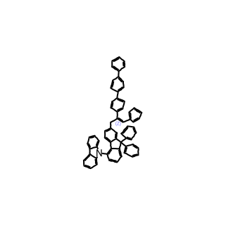 C(=C(\Cc1ccc2c(c1)C(c1ccccc1)(c1ccccc1)c1cccc(-n3c4ccccc4c4ccccc43)c1-2)c1ccc(-c2ccc(-c3ccccc3)cc2)cc1)/c1ccccc1